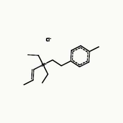 CC=C[N+](CC)(CC)CCc1ccc(C)cc1.[Cl-]